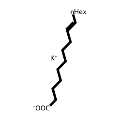 CCCCCCC=CCCCCCCCC(=O)[O-].[K+]